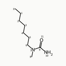 CCCCCCCN(C)C(N)=O